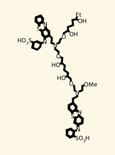 CCC(O)CCCC(O)COCCN(CCOCC(O)CCCC(O)COCCN(CCOC)CCc1ccc2sc3c/c(=N\c4ccccc4S(=O)(=O)O)ccc-3nc2c1)CCc1cc2nc3ccccc3sc-2c/c1=N\C1=CC(S(=O)(=O)O)=CCC1